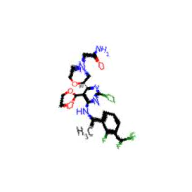 CC(Nc1nc(Cl)nc([C@H]2CN(CC(N)=O)CCO2)c1C1OCCO1)c1cccc(C(F)F)c1F